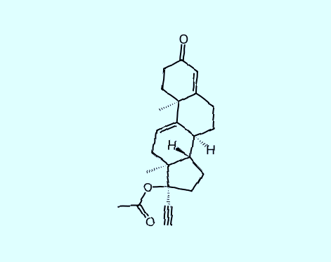 C#C[C@@]1(OC(C)=O)CC[C@H]2[C@@H]3CCC4=CC(=O)CC[C@]4(C)C3=CC[C@@]21C